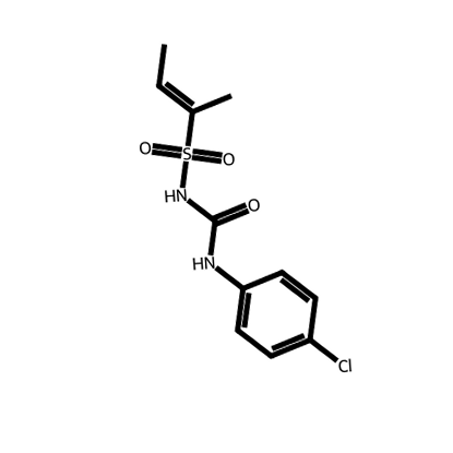 CC=C(C)S(=O)(=O)NC(=O)Nc1ccc(Cl)cc1